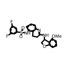 COc1cccc2c1C(NC1=Nc3cccc(NS(=O)(=O)c4cc(F)cc(F)c4)c3CC1)CO2